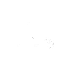 CSC1C(C(C)N(C(CCl)CCCC(C)Cl)C2CCCC3C(C2)C3C(C)(C)C)CC[C@H]2Sc3ccccc3C12